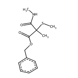 CNC(=O)C(C)(SC)C(=O)OCc1ccccc1